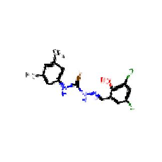 Oc1c(Cl)cc(Cl)cc1/C=N/NC(=S)Nc1cc(C(F)(F)F)cc(C(F)(F)F)c1